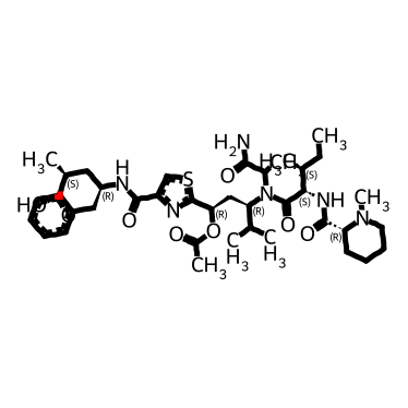 CC[C@H](C)[C@H](NC(=O)[C@H]1CCCCN1C)C(=O)N(C(C)C(N)=O)[C@H](C[C@@H](OC(C)=O)c1nc(C(=O)N[C@@H](Cc2ccccc2)C[C@H](C)C(=O)O)cs1)C(C)C